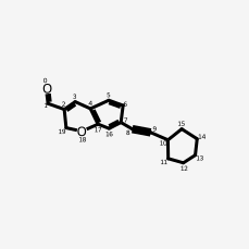 O=CC1=Cc2ccc(C#CC3CCCCC3)cc2OC1